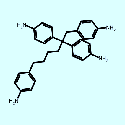 Nc1ccc(CCCCC(Cc2ccc(N)cc2)(c2ccc(N)cc2)c2ccc(N)cc2)cc1